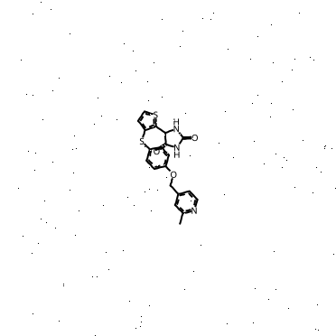 Cc1cc(COc2ccc(Sc3ccsc3C3NC(=O)NC3=O)cc2)ccn1